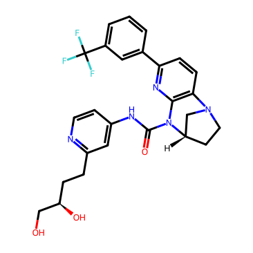 O=C(Nc1ccnc(CC[C@@H](O)CO)c1)N1c2nc(-c3cccc(C(F)(F)F)c3)ccc2N2CC[C@H]1C2